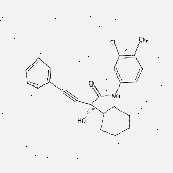 N#Cc1ccc(NC(=O)[C@](O)(C#Cc2ccccc2)C2CCCCC2)cc1Cl